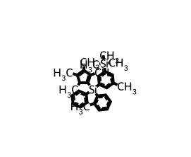 CC1=C(C)C(C)C([Si](c2ccccc2)(c2cc(C)cc([Si](C)(C)C)c2)c2ccccc2C)=C1C